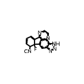 N#CC1C=CC=C(c2cnccn2)C1(F)c1ccc2[nH]nnc2c1